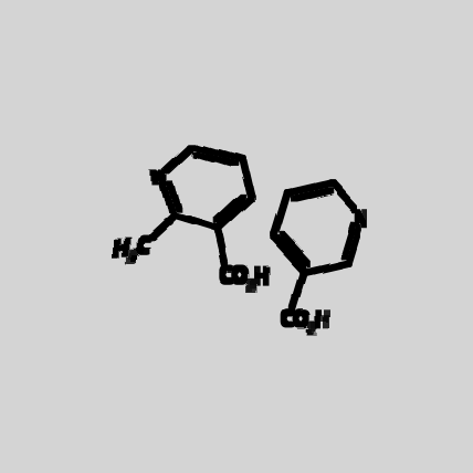 Cc1ncccc1C(=O)O.O=C(O)c1cccnc1